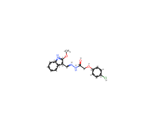 COc1[nH]c2ccccc2c1C=NNC(=O)COc1ccc(Cl)cc1